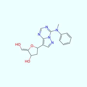 CN(c1ccccc1)c1ncnc2c(C3CC(O)/C(=C/O)O3)cnn12